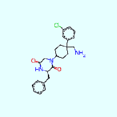 NCC1(c2cccc(Cl)c2)CCC(N2CC(=O)N[C@H](Cc3ccccc3)C2=O)CC1